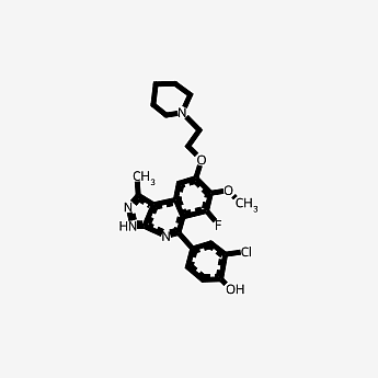 COc1c(OCCN2CCCCC2)cc2c(c(-c3ccc(O)c(Cl)c3)nc3[nH]nc(C)c32)c1F